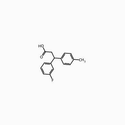 Cc1ccc(C(CC(=O)O)c2cccc(F)c2)cc1